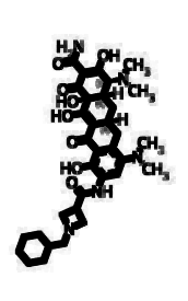 CN(C)c1cc(NC(=O)C2CN(CC3CCCCC3)C2)c(O)c2c1C[C@H]1C[C@H]3[C@H](N(C)C)C(O)=C(C(N)=O)C(=O)[C@@]3(O)C(O)=C1C2=O